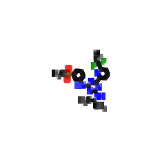 CC(C)Nc1nc(Nc2cccc(S(C)(=O)=O)c2)nc(-c2cccc(C(C)(F)F)n2)n1